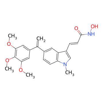 C=C(c1cc(OC)c(OC)c(OC)c1)c1ccc2c(c1)c(C=CC(=O)NO)cn2C